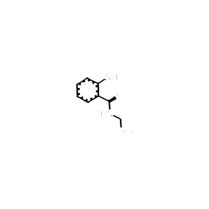 CCC(C)CNC(=O)c1ccccc1N